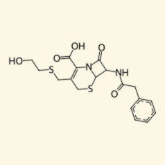 O=C(Cc1ccccc1)NC1C(=O)N2C(C(=O)O)=C(CSCCO)CSC12